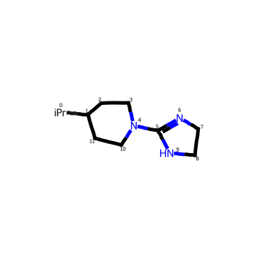 CC(C)C1CCN(C2=NCCN2)CC1